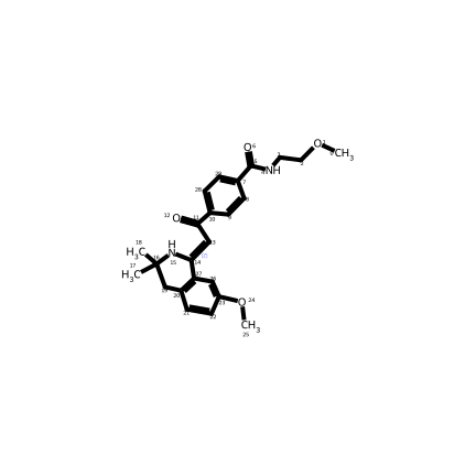 COCCNC(=O)c1ccc(C(=O)/C=C2\NC(C)(C)Cc3ccc(OC)cc32)cc1